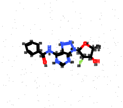 CC[C@H]1O[C@@H](n2nnc3c(NC(=O)c4ccccc4)ncnc32)[C@@H](F)[C@@H]1O